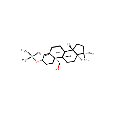 CC(=O)O[C@@]1(C)CC[C@H]2[C@@H]3CCC4=C[C@@H](O[Si](C)(C)C)CC[C@]4(CO)[C@H]3CC[C@@]21C